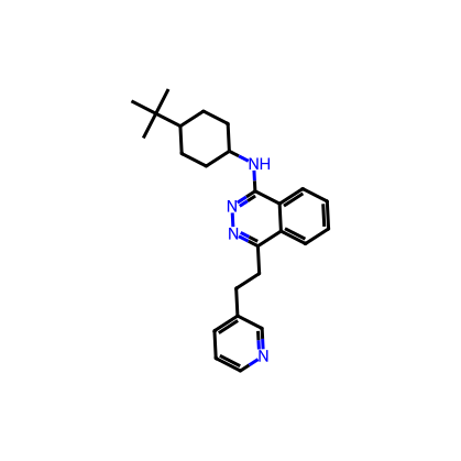 CC(C)(C)C1CCC(Nc2nnc(CCc3cccnc3)c3ccccc23)CC1